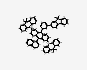 CC1(C)C2=CC(c3cccc(-c4c5cc(N6c7ccccc7C(C)(C)c7ccccc76)ccc5c(-c5cccc6ccccc56)c5cc(N6c7ccccc7C(C)(C)c7ccccc76)ccc45)c3)CC=C2c2ccccc21